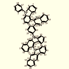 c1ccc(-n2c3ccccc3c3c(-c4nc5ccccc5nc4-c4cccc(-n5c6ccccc6c6c(-n7c8ccccc8c8cc9ccccc9cc87)c7ccccc7cc65)c4)cccc32)cc1